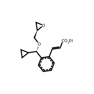 CCOC(=O)/C=C/c1ccccc1[C@@H](OC[C@H]1CO1)C1CC1